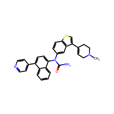 CN1CC=C(c2csc3ccc(N(C(N)=O)c4ccc(-c5ccncc5)c5ccccc45)cc23)CC1